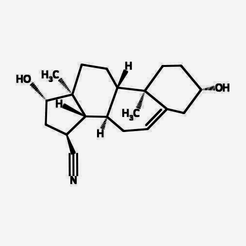 C[C@]12CC[C@H]3[C@@H](CC=C4C[C@@H](O)CC[C@@]43C)[C@@H]1[C@@H](C#N)C[C@@H]2O